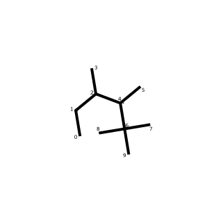 CCC(C)[C](C)C(C)(C)C